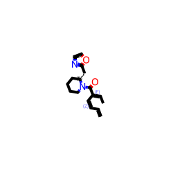 C=C/C=C\C(=C/C)C(=O)N1CCCC[C@@H]1Cc1ncco1